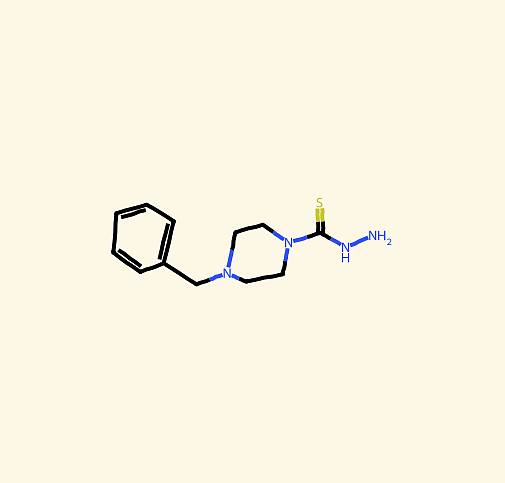 NNC(=S)N1CCN(Cc2ccccc2)CC1